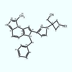 CCN1CC(CC#N)(n2ccc(-c3cc4c(ccc5nnc(C)n54)n3Cc3ccccc3)n2)C1